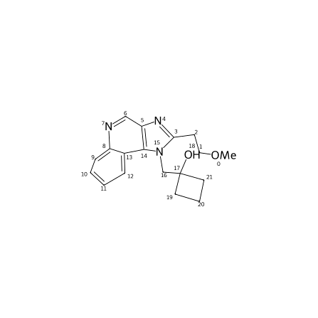 COCCc1nc2cnc3ccccc3c2n1CC1(O)CCC1